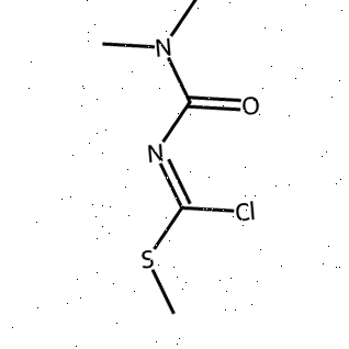 CSC(Cl)=NC(=O)N(C)C